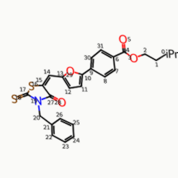 CC(C)CCOC(=O)c1ccc(-c2ccc(/C=C3/SC(=S)N(Cc4ccccc4)C3=O)o2)cc1